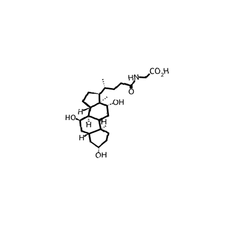 C[C@H](CCC(=O)NCC(=O)O)[C@@H]1CC[C@H]2[C@@H]3[C@H](O)C[C@H]4C[C@@H](O)CC[C@]4(C)[C@H]3C[C@@H](O)[C@@]21C